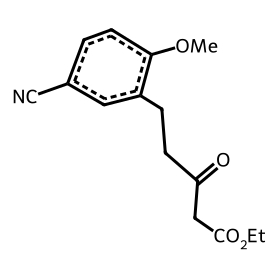 CCOC(=O)CC(=O)CCc1cc(C#N)ccc1OC